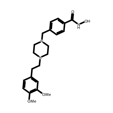 COc1ccc(CCN2CCN(Cc3ccc(C(=O)NO)cc3)CC2)cc1OC